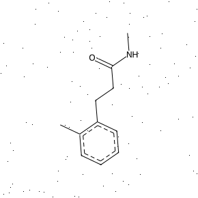 CNC(=O)CCc1ccccc1C